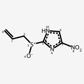 C=CC[S+]([O-])c1nc([N+](=O)[O-])c[nH]1